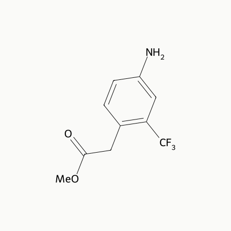 COC(=O)Cc1ccc(N)cc1C(F)(F)F